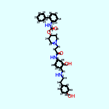 O=C(CCN1CCC(OC(=O)Nc2ccccc2-c2ccccc2)CC1)Nc1ccc(CNCCc2ccc(O)cc2)c(O)c1